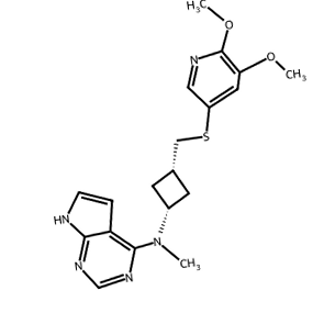 COc1cc(SC[C@H]2C[C@@H](N(C)c3ncnc4[nH]ccc34)C2)cnc1OC